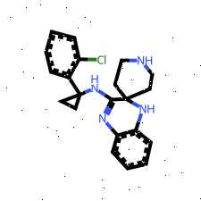 Clc1ccccc1C1(NC2=Nc3ccccc3NC23CCNCC3)CC1